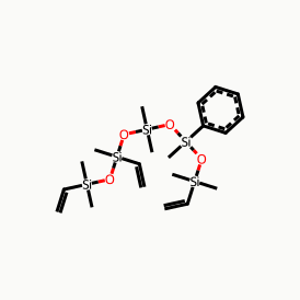 C=C[Si](C)(C)O[Si](C)(C=C)O[Si](C)(C)O[Si](C)(O[Si](C)(C)C=C)c1ccccc1